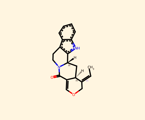 C/C=C1/COC=C2C(=O)N3CCc4c([nH]c5ccccc45)[C@@H]3C[C@H]21